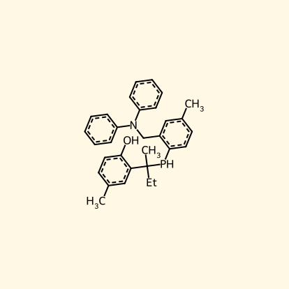 CCC(C)(Pc1ccc(C)cc1CN(c1ccccc1)c1ccccc1)c1cc(C)ccc1O